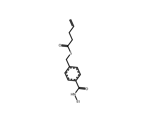 C=CCCC(=O)SCc1ccc(C(=O)NCC)cc1